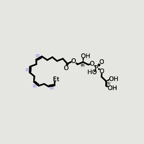 CC/C=C\C/C=C\C/C=C\C/C=C\CCCCC(=O)OC[C@@H](O)COP(=O)(O)OC[C@@H](O)CO